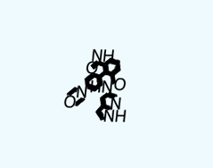 NC(=O)c1cccc(C(=O)Nc2cnc3[nH]ccc3c2)c1-c1ccc(N2CCOCC2)cc1